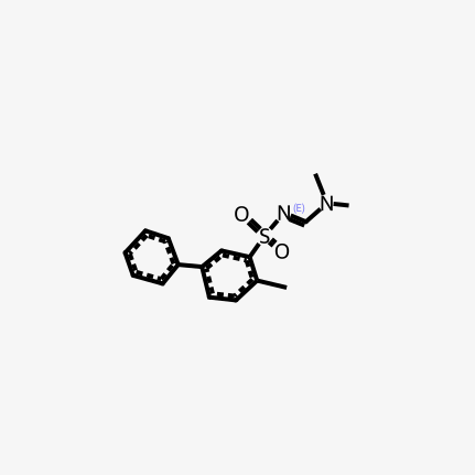 Cc1ccc(-c2ccccc2)cc1S(=O)(=O)/N=C/N(C)C